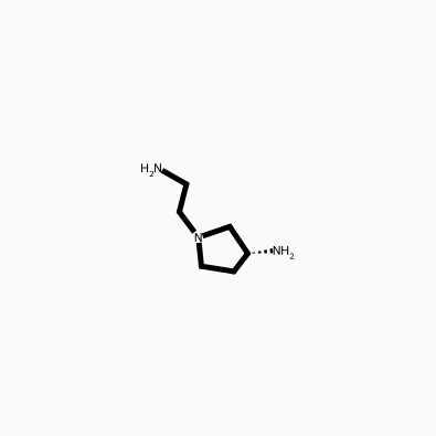 NCCN1CC[C@@H](N)C1